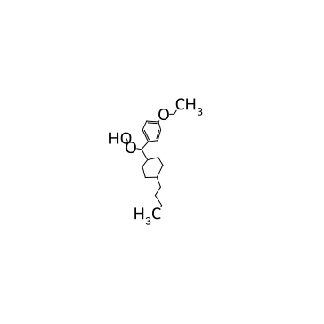 CCCCC1CCC(C(OO)c2ccc(OCC)cc2)CC1